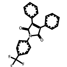 O=C1C(c2ccccc2)=C(c2ccccc2)C(=O)N1c1ccc(C(F)(F)F)cc1